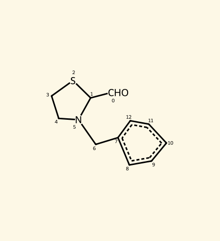 O=CC1SCCN1Cc1ccccc1